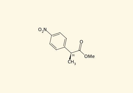 COC(=O)[C@@H](C)c1ccc([N+](=O)[O-])cc1